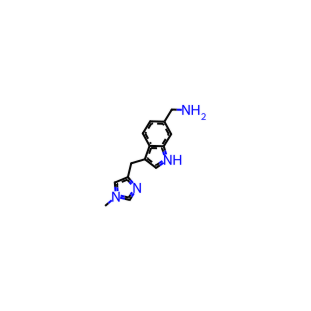 Cn1cnc(Cc2c[nH]c3cc(CN)ccc23)c1